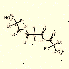 CCC(CC)(C(=O)O)C(=O)OC(=O)C(C)(C)C(=O)OC(=O)C(CC)(CC)C(=O)O